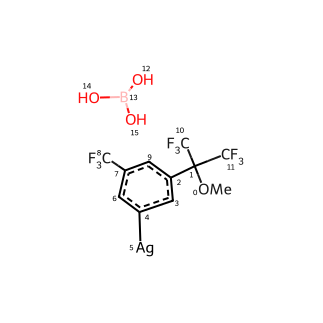 COC(c1c[c]([Ag])cc(C(F)(F)F)c1)(C(F)(F)F)C(F)(F)F.OB(O)O